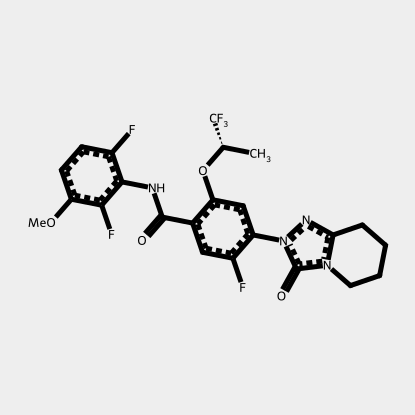 COc1ccc(F)c(NC(=O)c2cc(F)c(-n3nc4n(c3=O)CCCC4)cc2O[C@@H](C)C(F)(F)F)c1F